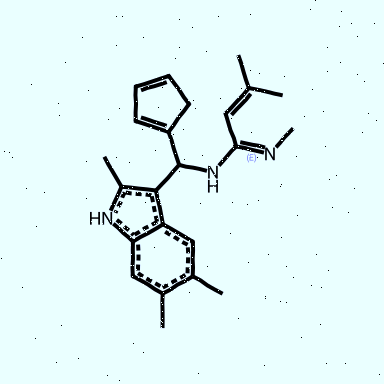 C/N=C(\C=C(C)C)NC(C1=CC=CC1)c1c(C)[nH]c2cc(C)c(C)cc12